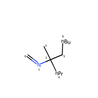 C=NC(C)(CCC)CCCCC